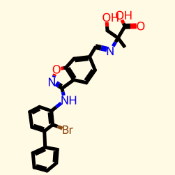 CC(CO)(N=Cc1ccc2c(Nc3cccc(-c4ccccc4)c3Br)noc2c1)C(=O)O